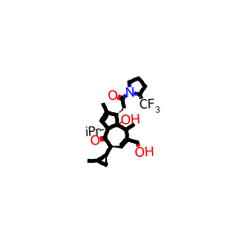 CC1=C[C@]2(C(C)C)C(=O)[C@H]([C@H]3CC3C)C=C(CO)C(C)[C@]2(O)[C@H]1CC(=O)N1CCCC1C(F)(F)F